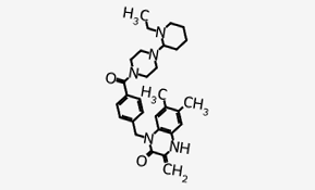 C=C1Nc2cc(C)c(C)cc2N(Cc2ccc(C(=O)N3CCN(C4CCCCN4CC)CC3)cc2)C1=O